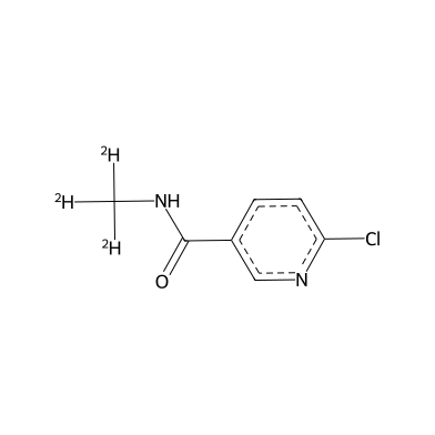 [2H]C([2H])([2H])NC(=O)c1ccc(Cl)nc1